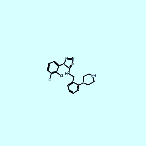 Clc1cccc(-n2nnnc2NCc2cccnc2N2CCNCC2)c1Cl